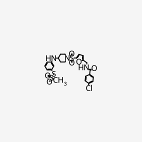 CS(=O)(=O)Sc1cccc(NC2CCN(S(=O)(=O)c3ccc(CNC(=O)c4ccc(Cl)cc4)o3)CC2)c1